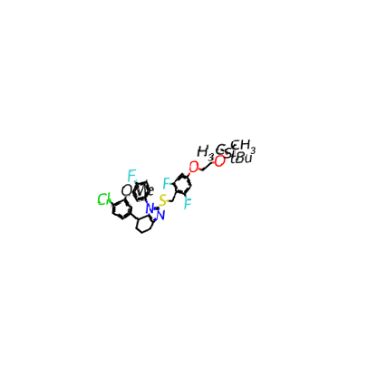 COc1cc(C2CCCc3nc(SCc4c(F)cc(OCCO[Si](C)(C)C(C)(C)C)cc4F)n(-c4ccc(F)cc4)c32)ccc1Cl